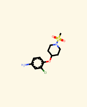 CS(=O)(=O)N1CCC(Oc2ccc(N)cc2Cl)CC1